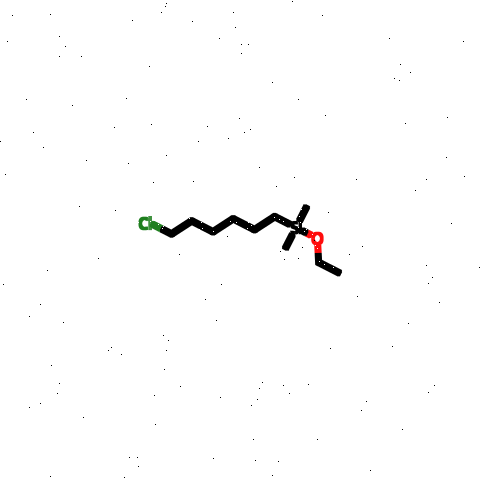 CCO[Si](C)(C)CCCCCCCl